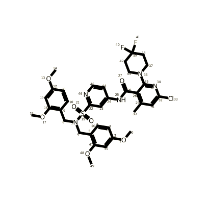 COc1ccc(CN(Cc2ccc(OC)cc2OC)S(=O)(=O)c2cc(NC(=O)c3c(C)cc(Cl)nc3N3CCC(F)(F)CC3)ccn2)c(OC)c1